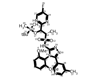 COc1cccc(OC)c1-n1c(NS(=O)(=O)[C@@H](C)C(O[Si](C)(C)C(C)(C)C)c2ncc(F)cn2)nnc1-c1cncc(C)c1